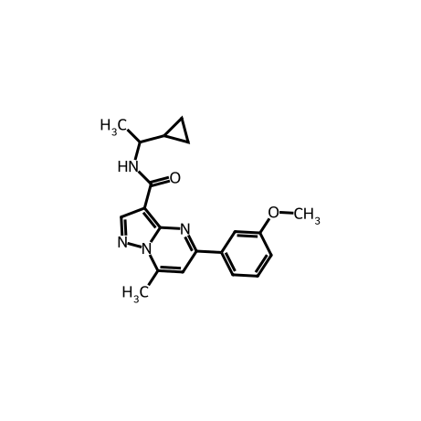 COc1cccc(-c2cc(C)n3ncc(C(=O)NC(C)C4CC4)c3n2)c1